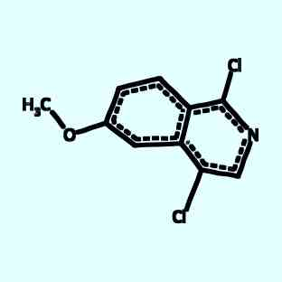 COc1ccc2c(Cl)ncc(Cl)c2c1